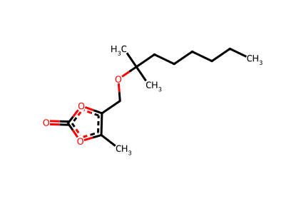 CCCCCCC(C)(C)OCc1oc(=O)oc1C